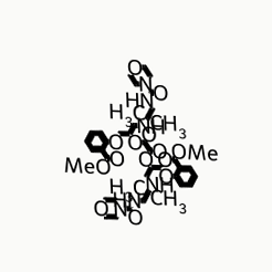 COC(=O)c1ccccc1OCC(CNC(C)(C)CNC(=O)N1CCOCC1)OC(=O)C(=O)OC(CNC(C)(C)CNC(=O)N1CCOCC1)COc1ccccc1C(=O)OC